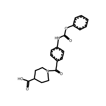 O=C(Nc1ccc(C(=O)N2CCC(C(=O)O)CC2)cc1)Oc1ccccc1